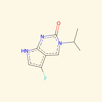 CC(C)n1cc2c(F)c[nH]c2nc1=O